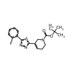 CC(C)(C)OC(=O)N1CCC=C(c2nnc(-c3ccccc3F)s2)C1